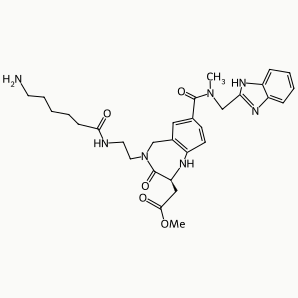 COC(=O)C[C@@H]1Nc2ccc(C(=O)N(C)Cc3nc4ccccc4[nH]3)cc2CN(CCNC(=O)CCCCCN)C1=O